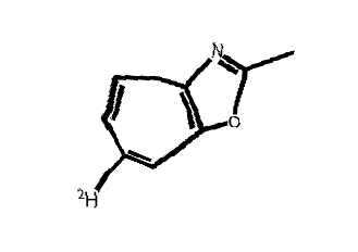 [2H]c1ccc2nc(C)oc2c1